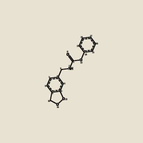 O=C(NCc1ccc2c(c1)OOC2)Oc1ccccc1